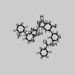 O=C(Nc1cncc(-c2cc3c(-c4nc5c(-c6ccccc6F)ccnc5[nH]4)n[nH]c3cc2F)c1)c1ccccc1